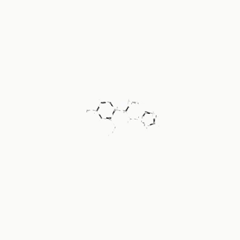 CCc1cc(Cl)ccc1/C(Cn1cncn1)=N/O